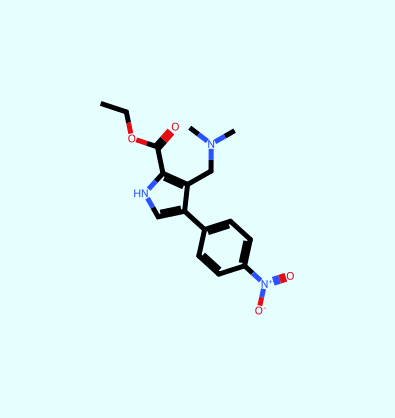 CCOC(=O)c1[nH]cc(-c2ccc([N+](=O)[O-])cc2)c1CN(C)C